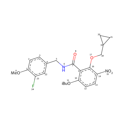 COc1ccc(CNC(=O)c2c(OCC(C)C)ccc([N+](=O)[O-])c2OCC2CC2)cc1F